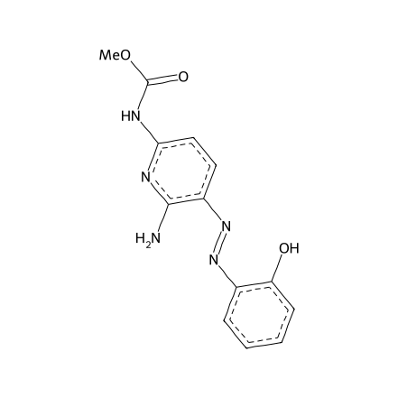 COC(=O)Nc1ccc(N=Nc2ccccc2O)c(N)n1